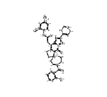 O=C(Cn1c2c(c(=O)n3nc(C4=CCOCC4)nc13)[C@@]1(CCCN(C(=O)c3ncccc3O)CC1)CC2)Nc1ccc(C(F)(F)F)cc1Cl